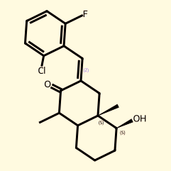 CC1C(=O)/C(=C\c2c(F)cccc2Cl)C[C@@]2(C)C1CCC[C@@H]2O